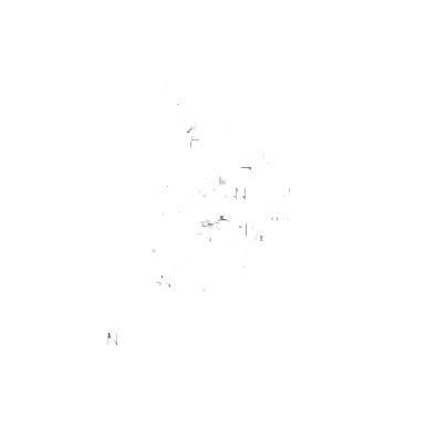 C=CCOC(=O)C(N1C(=O)[C@H]([C@@H](C)O[Si](C)(C)C(C)(C)C)[C@H]1[C@H]1CCC/C(=C\c2nc(-c3ccncc3)cs2)C1=O)=P(c1ccccc1)(c1ccccc1)c1ccccc1